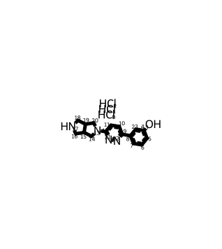 Cl.Cl.Cl.Oc1cccc(-c2ccc(N3CC4CNCC4C3)nn2)c1